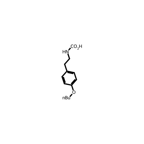 CCCCOc1ccc(CCNC(=O)O)cc1